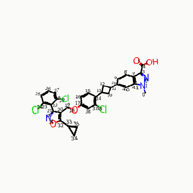 Cn1nc(C(=O)O)c2ccc(C3CC(c4ccc(OCc5c(-c6c(Cl)cccc6Cl)noc5C5CC5)cc4Cl)C3)cc21